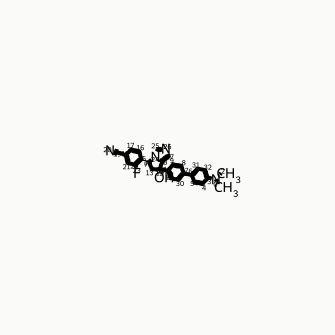 CN(C)c1ccc(-c2ccc([C@@]3(O)C[C@H](c4ccc(C#N)cc4F)n4cncc43)cc2)cc1